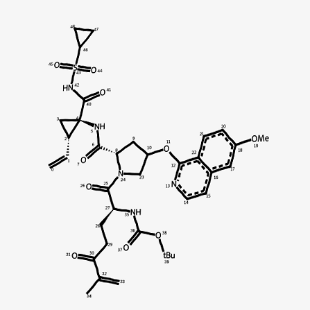 C=C[C@@H]1C[C@]1(NC(=O)[C@@H]1CC(Oc2nccc3cc(OC)ccc23)CN1C(=O)[C@H](CCC(=O)C(=C)C)NC(=O)OC(C)(C)C)C(=O)NS(=O)(=O)C1CC1